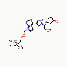 C[Si](C)(C)CCOCn1ccc2c(-c3cnn(C(CC#N)[C@@H]4CCC(=O)C4)c3)ncnc21